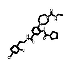 CCNC(=O)N1CCCN(c2ccc(C(=O)NCCc3ccc(Cl)cc3Cl)cc2NC(=O)C2CCCC2)CC1